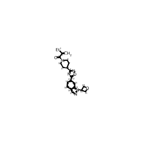 C=C(CC)C(=O)N1CCC(c2noc(-c3ccc4cnn(C5COC5)c4c3)n2)CC1